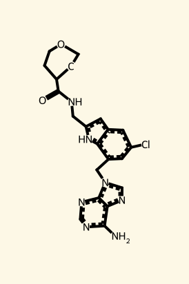 Nc1ncnc2c1ncn2Cc1cc(Cl)cc2cc(CNC(=O)C3CCOCC3)[nH]c12